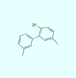 Cc1cccc(-c2cc(C)ccc2Br)c1